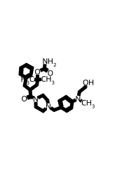 CN(CCO)c1ccc(CN2CCN(C(=O)C(Cc3ccccc3)CC(C)(C)OC(N)=O)CC2)cc1